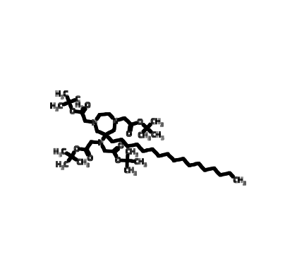 CCCCCCCCCCCCCCCCCC1(N(CC(=O)OC(C)(C)C)CC(=O)OC(C)(C)C)CN(CC(=O)OC(C)(C)C)CCN(CC(=O)OC(C)(C)C)C1